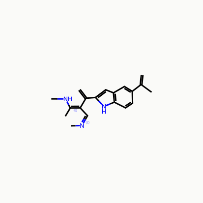 C=C(C)c1ccc2[nH]c(C(=C)C(/C=N\C)=C(/C)NC)cc2c1